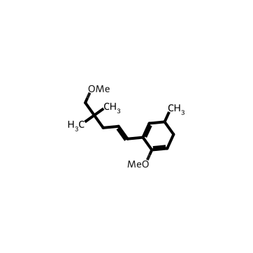 COCC(C)(C)C/C=C/C1=CC(C)CC=C1OC